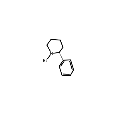 CCN1CCCC[C@@H]1c1ccccc1